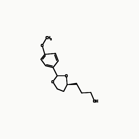 COc1ccc(C2OCC[C@H](CCCO)O2)cc1